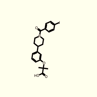 CC(C)(Oc1cccc(C2CCN(C(=O)c3ccc(I)cc3)CC2)c1)C(=O)O